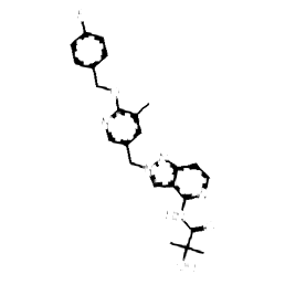 Cc1cc(Cn2cc3c(NC(=O)C(C)(C)O)nccc3n2)cnc1OCc1ccc(F)cc1